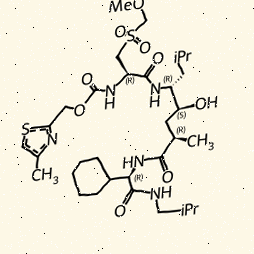 COCS(=O)(=O)C[C@H](NC(=O)OCc1nc(C)cs1)C(=O)N[C@H](CC(C)C)[C@@H](O)C[C@@H](C)C(=O)N[C@@H](C(=O)NCC(C)C)C1CCCCC1